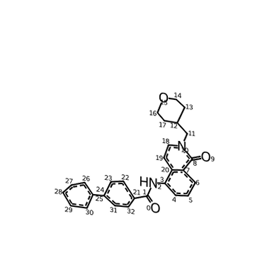 O=C(Nc1cccc2c(=O)n(CC3CCOCC3)ccc12)c1ccc(-c2ccccc2)cc1